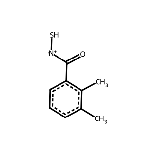 Cc1cccc(C(=O)[N+]S)c1C